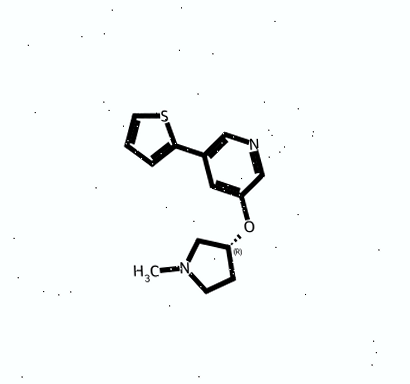 CN1CC[C@@H](Oc2cncc(-c3cccs3)c2)C1